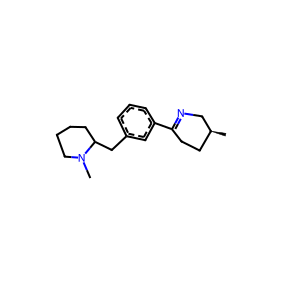 C[C@H]1CCC(c2cccc(CC3CCCCN3C)c2)=NC1